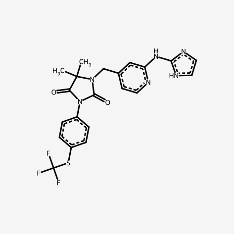 CC1(C)C(=O)N(c2ccc(SC(F)(F)F)cc2)C(=O)N1Cc1ccnc(Nc2ncc[nH]2)c1